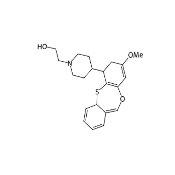 COC1=CC2=C(SC3C=CC=CC3=CO2)C(C2CCN(CCO)CC2)C1